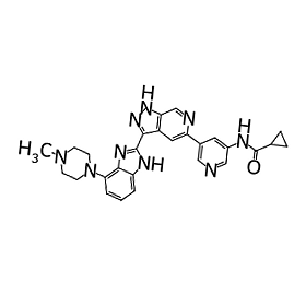 CN1CCN(c2cccc3[nH]c(-c4n[nH]c5cnc(-c6cncc(NC(=O)C7CC7)c6)cc45)nc23)CC1